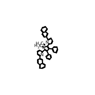 CC[Si]1(CC)C(c2cccc(-c3ccc4ccccc4c3)n2)=C(c2ccccc2)C(c2ccccc2)=C1c1cccc(-c2ccc3ccccc3c2)n1